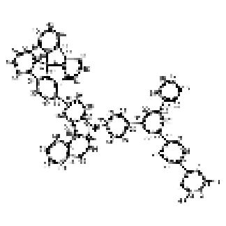 Cc1cc(C)cc(-c2ccc(-c3cc(-c4ccccc4)cc(-c4ccc(-n5c6ccc(-c7ccc8c(c7)C7(c9ccccc9-c9ccccc97)c7ccccc7-8)cc6c6c7ccccc7ccc65)cc4)c3)cc2)c1